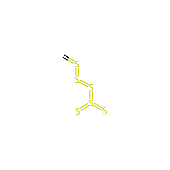 C=S=S=S=S(=S)=S